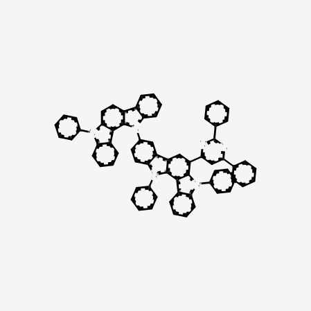 c1ccc(-c2cc(-c3cc4c5cc(-n6c7ccccc7c7ccc8c(c9ccccc9n8-c8ccccc8)c76)ccc5n(-c5ccccc5)c4c4c5ccccc5n(-c5ccccc5)c34)nc(-c3ccccc3)n2)cc1